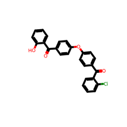 O=C(c1ccc(Oc2ccc(C(=O)c3ccccc3Cl)cc2)cc1)c1ccccc1O